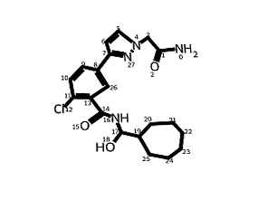 NC(=O)Cn1ccc(-c2ccc(Cl)c(C(=O)NC(O)C3CCCCCC3)c2)n1